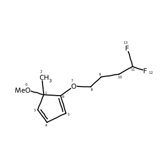 COC1(C)C=CC=C1OCCCC(F)F